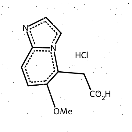 COc1ccc2nccn2c1CC(=O)O.Cl